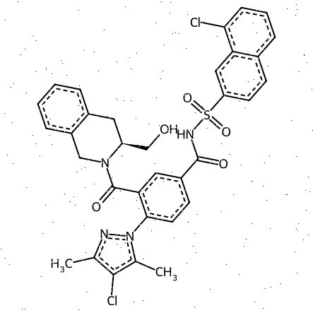 Cc1nn(-c2ccc(C(=O)NS(=O)(=O)c3ccc4cccc(Cl)c4c3)cc2C(=O)N2Cc3ccccc3C[C@H]2CO)c(C)c1Cl